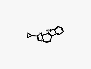 c1ccc2c(c1)[nH]c1c2ccn2cc(C3CC3)nc12